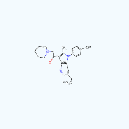 Cc1c(C(=O)CN2CCCCC2)c2ncc(CC(=O)O)cc2n1-c1ccc(C#N)cc1